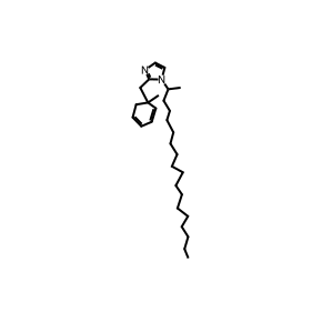 CCCCCCCCCCCCCCCCC(C)n1ccnc1CC1(C)C=CC=CC1